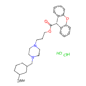 COC1CCCC(CN2CCN(CCCOC(=O)C3c4ccccc4Oc4ccccc43)CC2)C1.Cl.Cl